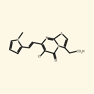 Cn1cccc1/C=C/c1nc2scc(CC(=O)O)n2c(=O)c1Cl